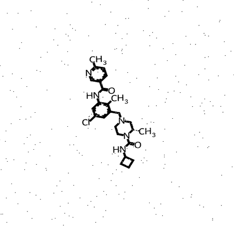 Cc1ccc(C(=O)Nc2cc(Cl)cc(CN3CCN(C(=O)NC4CCC4)[C@@H](C)C3)c2C)cn1